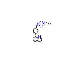 CCCCN1CCN(Cc2ccc(-c3cccc4cccnc34)cc2)CC1